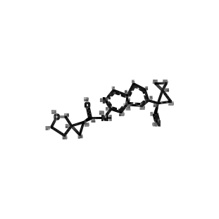 N#C[C@]1(c2ccc3cnc(NC(=O)[C@H]4CC45CCOC5)cc3c2)CC12CC2